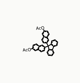 CC(=O)Oc1ccc2cc(C3(c4ccc5cc(OC(C)=O)ccc5c4)c4ccccc4-c4ccccc43)ccc2c1